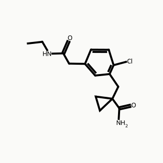 CCNC(=O)Cc1ccc(Cl)c(CC2(C(N)=O)CC2)c1